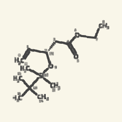 C=C[C@H](CC(=O)OCC)O[Si](C)(C)C(C)(C)C